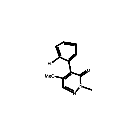 CCc1ccccc1-c1c(OC)cnn(C)c1=O